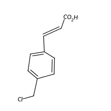 O=C(O)C=Cc1ccc(CCl)cc1